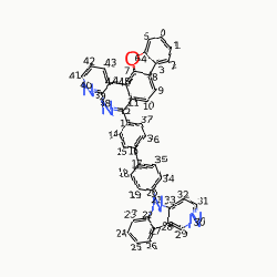 c1ccc2c(c1)oc1c2ccc2c(-c3ccc(-c4ccc(-n5c6ccccc6c6cnccc65)cc4)cc3)nc3ncccc3c21